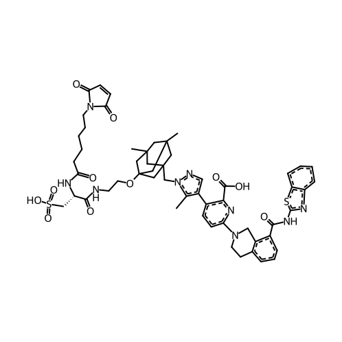 Cc1c(-c2ccc(N3CCc4cccc(C(=O)Nc5nc6ccccc6s5)c4C3)nc2C(=O)O)cnn1CC12CC3(C)CC(C)(C1)CC(OCCNC(=O)[C@H](CS(=O)(=O)O)NC(=O)CCCCCN1C(=O)C=CC1=O)(C3)C2